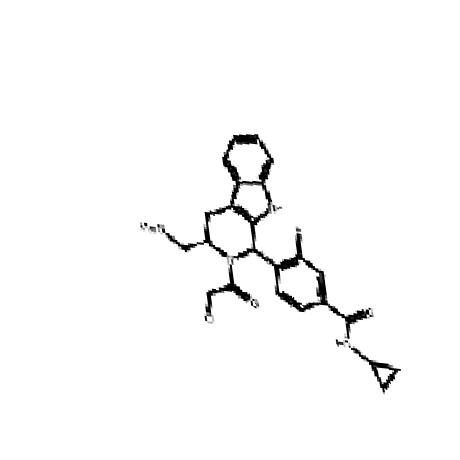 COC[C@H]1Cc2c([nH]c3ccccc23)C(c2ccc(C(=O)NC3CC3)cc2F)N1C(=O)CCl